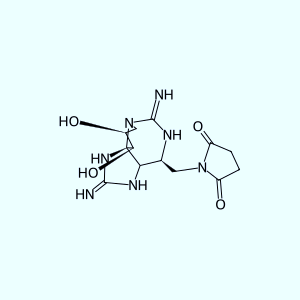 N=C1NC2[C@H](CN3C(=O)CCC3=O)NC(=N)N3C[C@H](O)[C@@H](O)[C@]23N1